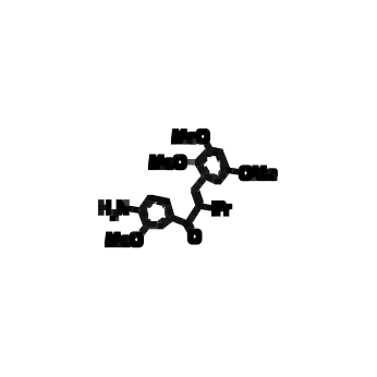 COc1cc(/C=C(/C(=O)c2ccc(N)c(OC)c2)C(C)C)c(OC)c(OC)c1